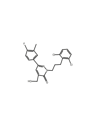 Cc1cc(-c2cc(CO)c(=O)n(CCCc3c(Cl)cccc3Cl)n2)ccc1F